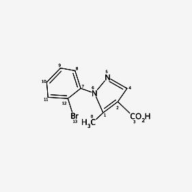 Cc1c(C(=O)O)cnn1-c1ccccc1Br